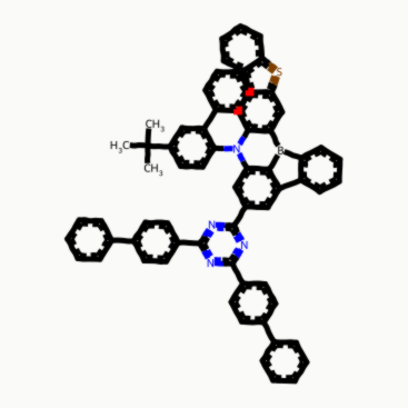 CC(C)(C)c1ccc(N2c3cc4c(cc3B3c5ccccc5-c5cc(-c6nc(-c7ccc(-c8ccccc8)cc7)nc(-c7ccc(-c8ccccc8)cc7)n6)cc2c53)sc2ccccc24)c(-c2ccccc2)c1